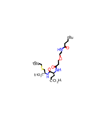 CC(C)(C)CCC(=O)NCCOCCC(=O)N[C@@H](CCC(=O)O)C(=O)N[C@@H](CSCC(C)(C)C)C(=O)O